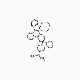 CN(C)c1ccc(C2(c3ccccc3)C=Cc3c4c(c5ccccc5c3S2)-c2ccccc2C42CCCCCCC2)cc1